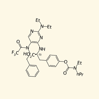 CCCN(CC)C(=O)Oc1ccc(C[C@H](Nc2nc(N(CC)CC)ncc2N(CCc2ccccc2)C(=O)C(F)(F)F)C(=O)O)cc1